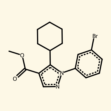 COC(=O)c1cnn(-c2cccc(Br)c2)c1C1CCCCC1